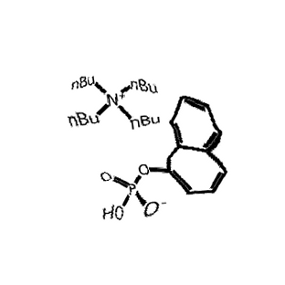 CCCC[N+](CCCC)(CCCC)CCCC.O=P([O-])(O)Oc1cccc2ccccc12